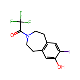 O=C(N1CCc2cc(O)c(I)cc2CC1)C(F)(F)F